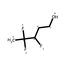 CC(F)(F)C(F)CCO